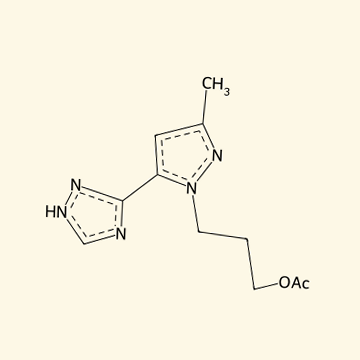 CC(=O)OCCCn1nc(C)cc1-c1nc[nH]n1